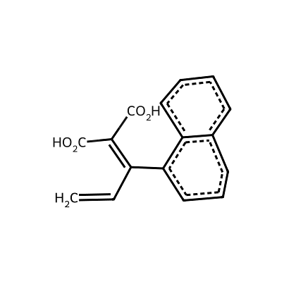 C=CC(=C(C(=O)O)C(=O)O)c1cccc2ccccc12